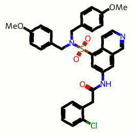 COc1ccc(CN(Cc2ccc(OC)cc2)S(=O)(=O)c2cc(NC(=O)Cc3ccccc3Cl)cc3cnccc23)cc1